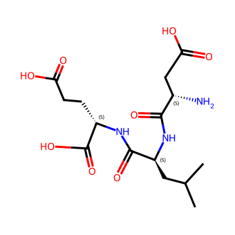 CC(C)C[C@H](NC(=O)[C@@H](N)CC(=O)O)C(=O)N[C@@H](CCC(=O)O)C(=O)O